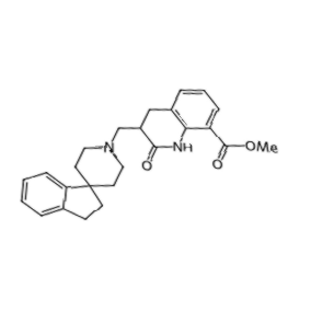 COC(=O)c1cccc2c1NC(=O)C(CN1CCC3(CCc4ccccc43)CC1)C2